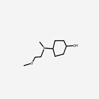 COCCN(C)C1CCC(O)CC1